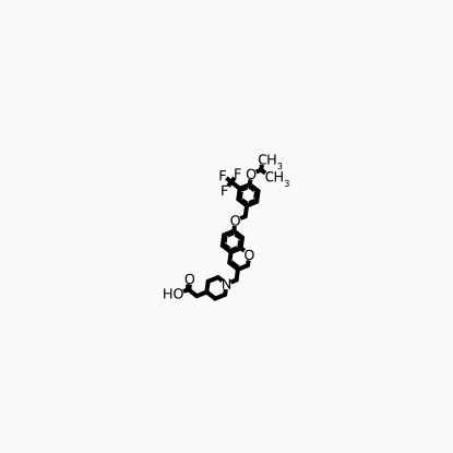 CC(C)Oc1ccc(COc2ccc3c(c2)OCC(CN2CCC(CC(=O)O)CC2)=C3)cc1C(F)(F)F